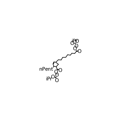 CCCCCC1C=CC(CCCCCCCCC(=O)OOC(=O)OC(C)C)CC1C(=O)OOC(=O)OC(C)C